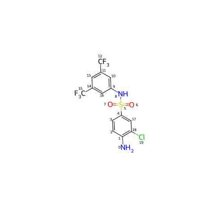 Nc1ccc(S(=O)(=O)Nc2cc(C(F)(F)F)cc(C(F)(F)F)c2)cc1Cl